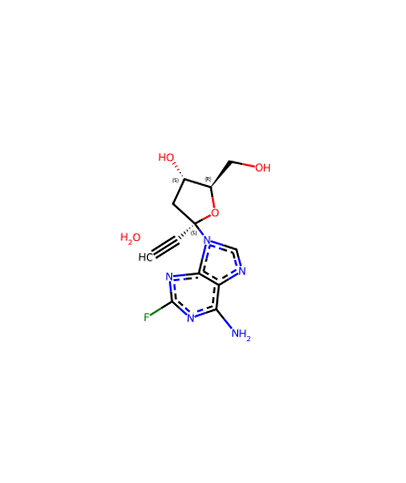 C#C[C@]1(n2cnc3c(N)nc(F)nc32)C[C@H](O)[C@@H](CO)O1.O